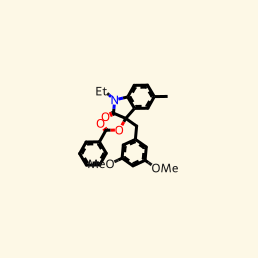 CCN1C(=O)C(Cc2cc(OC)cc(OC)c2)(OC(=O)c2ccccc2)c2cc(C)ccc21